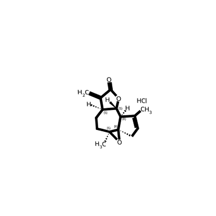 C=C1C(=O)O[C@@H]2[C@H]3C(C)=CC[C@@]34O[C@@]4(C)CC[C@@H]12.Cl